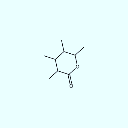 CC1OC(=O)C(C)C(C)C1C